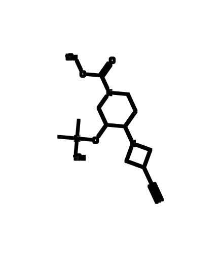 C#CC1CN(C2CCN(C(=O)OC(C)(C)C)CC2O[Si](C)(C)C(C)(C)C)C1